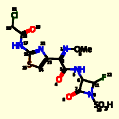 CON=C(C(=O)NC1C(=O)N(S(=O)(=O)O)C1F)c1csc(NC(=O)CCl)n1